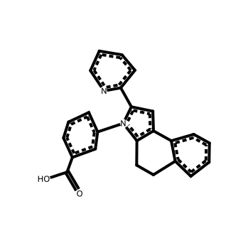 O=C(O)c1cccc(-n2c(-c3ccccn3)cc3c2CCc2ccccc2-3)c1